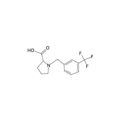 O=C(O)C1CCCN1Cc1cccc(C(F)(F)F)c1